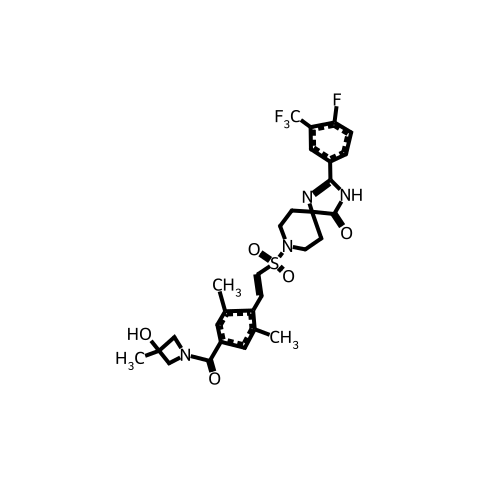 Cc1cc(C(=O)N2CC(C)(O)C2)cc(C)c1C=CS(=O)(=O)N1CCC2(CC1)N=C(c1ccc(F)c(C(F)(F)F)c1)NC2=O